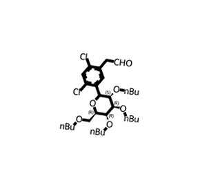 CCCCOC[C@H]1OC(c2cc(CC=O)c(Cl)cc2Cl)[C@H](OCCCC)[C@@H](OCCCC)[C@@H]1OCCCC